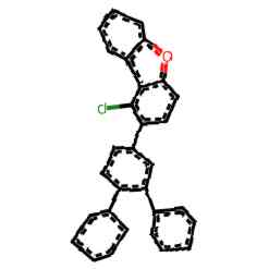 Clc1c(-c2ccc(-c3ccccc3)c(-c3ccccc3)c2)ccc2oc3ccccc3c12